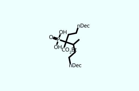 CCCCCCCCCCCCC(C)C(CCCCCCCCCCCC)(C(=O)OCC)P(=O)(O)O